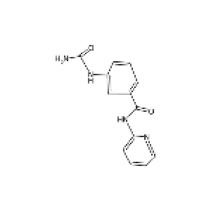 NC(=O)Nc1cccc(C(=O)Nc2ccccn2)c1